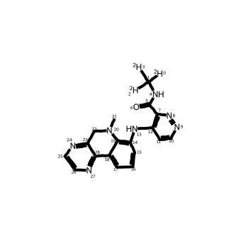 [2H]C([2H])([2H])NC(=O)c1nnccc1Nc1cccc2c1N(C)Cc1nccnc1-2